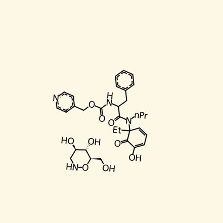 CCCN(C(=O)C(Cc1ccccc1)NC(=O)OCc1ccncc1)C1(CC)C=CC=C(O)C1=O.OC[C@H]1ONC[C@@H](O)[C@@H]1O